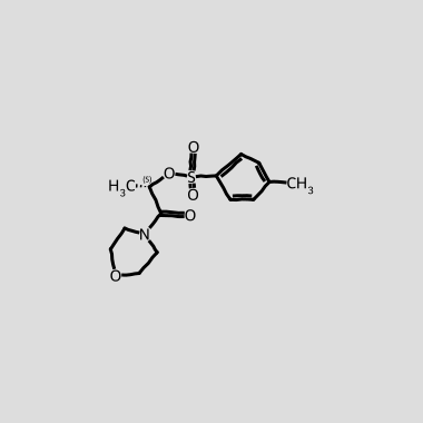 Cc1ccc(S(=O)(=O)O[C@@H](C)C(=O)N2CCOCC2)cc1